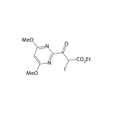 CCOC(=O)C(I)C(=O)c1nc(OC)cc(OC)n1